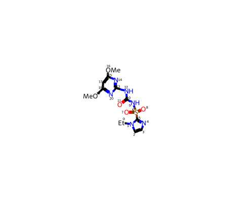 CCn1ccnc1S(=O)(=O)NC(=O)Nc1nc(OC)cc(OC)n1